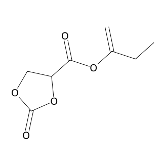 C=C(CC)OC(=O)C1COC(=O)O1